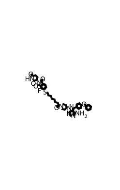 Nc1ncnc2c1c(-c1ccc(Oc3ccccc3)cc1)nn2C1CCN(C(=O)CCCCCCCSc2ccc3c(c2F)C(=O)N(C2CCC(=O)NC2=O)C3=O)CC1